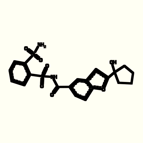 NS(=O)(=O)c1ccccc1S(=O)(=O)NC(=O)c1ccc2oc(C3(O)CCCC3)cc2c1